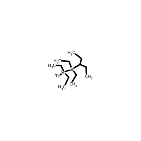 CC[CH](CC)[Sn]([CH2]C)([CH2]C)[Sn]([Te])([CH2]C)[CH2]C